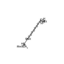 C=C(COCCOCCOCCOCCOCCOCCOCCOCCNC(=O)CCCCCNC(=O)CC(C)OC)NCC(=O)NCC